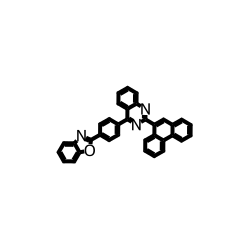 c1ccc2c(c1)cc(-c1nc(-c3ccc(-c4nc5ccccc5o4)cc3)c3ccccc3n1)c1ccccc12